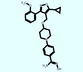 N/C(=N\O)c1ccc(N2CCC(OCc3c(-c4ccccc4OC(F)(F)F)noc3C3CC3)CC2)cc1